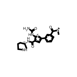 CN(C)C(=O)c1cccc(-c2cc(C(=O)N[C@H]3CCCNC3)c(NC(N)=O)s2)c1